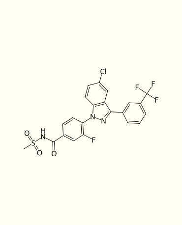 CS(=O)(=O)NC(=O)c1ccc(-n2nc(-c3cccc(C(F)(F)F)c3)c3cc(Cl)ccc32)c(F)c1